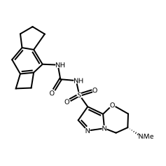 CN[C@H]1COc2c(S(=O)(=O)NC(=O)Nc3c4c(cc5c3CC5)CCC4)cnn2C1